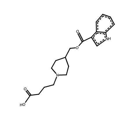 O=C(O)CCCN1CCC(COC(=O)c2c[nH]c3ccccc23)CC1